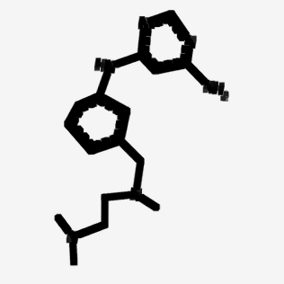 CN(C)CCN(C)Cc1cccc(Nc2cc(N)ncn2)c1